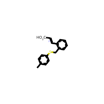 Cc1ccc(SCc2ccccc2/C=C/C(=O)O)cc1